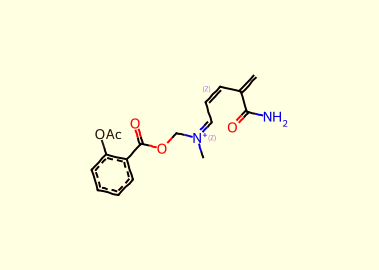 C=C(/C=C\C=[N+](\C)COC(=O)c1ccccc1OC(C)=O)C(N)=O